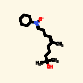 CC(=CCCC=[N+]([O-])C1CCCCC1)CCCC(C)(C)O